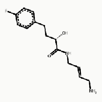 NC/C=C/CNC(=O)[C@@H](O)CCc1ccc(F)cc1